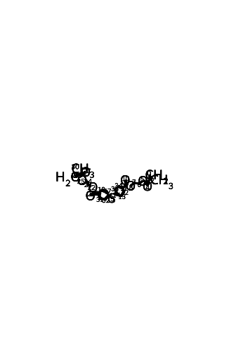 C=C(C)C(=O)OCCOC(=O)c1ccc(Sc2ccc(C(=O)OCCOC(=O)C(=C)C)cc2)cc1